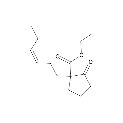 CC/C=C\CCC1(C(=O)OCC)CCCC1=O